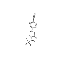 N#Cc1cnc(N2CCn3c(nnc3C(F)(F)F)C2)cn1